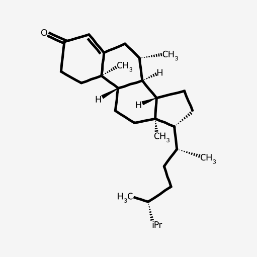 CC(C)[C@H](C)CC[C@@H](C)[C@H]1CC[C@H]2[C@@H]3[C@@H](C)CC4=CC(=O)CC[C@]4(C)[C@H]3CC[C@]12C